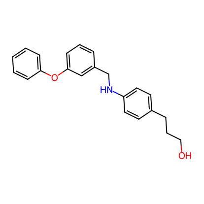 OCCCc1ccc(NCc2cccc(Oc3ccccc3)c2)cc1